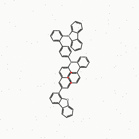 c1ccc(-c2ccccc2N(c2ccc(-c3ccccc3-n3c4ccccc4c4ccccc43)cc2)c2ccc3cc(-c4cccc5c4oc4ccccc45)ccc3c2)cc1